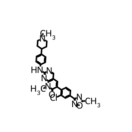 Cc1nc(-c2ccc(-c3cc4cnc(Nc5ccc(C6CCN(C)CC6)cc5)nc4n(C)c3=O)c(Cl)c2)no1